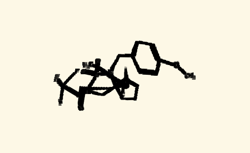 COc1ccc(CN2C3(CN(CC(F)(F)F)S2(=O)=O)C2CCC3CC(C=O)=C(C)C2)cc1